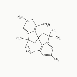 Cc1cc(C(=O)O)c2c(c1)C(C)(C)CC21CC(C)(C)c2cc(C)cc(C(=O)O)c21